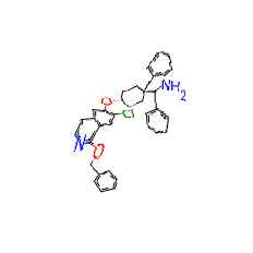 NC(c1ccccc1)[C@]1(c2ccccc2)CC[C@@H](Oc2cc3ccnc(OCc4ccccc4)c3cc2Cl)CC1